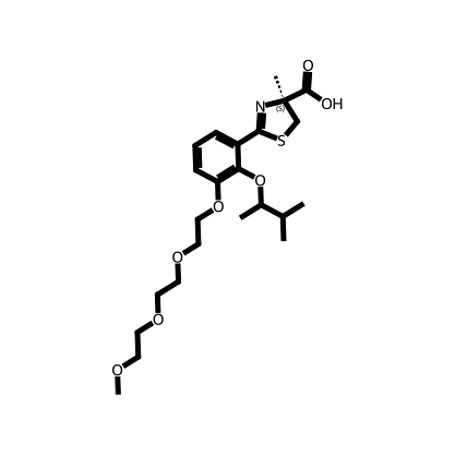 COCCOCCOCCOc1cccc(C2=N[C@@](C)(C(=O)O)CS2)c1OC(C)C(C)C